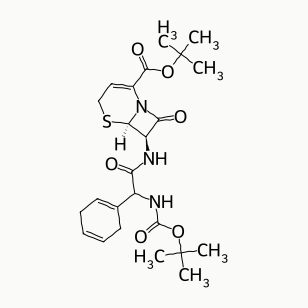 CC(C)(C)OC(=O)NC(C(=O)N[C@@H]1C(=O)N2C(C(=O)OC(C)(C)C)=CCS[C@H]12)C1=CCC=CC1